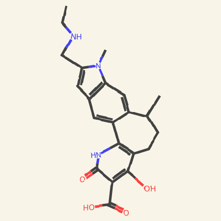 CCNCc1cc2cc3c(cc2n1C)C(C)CCc1c-3[nH]c(=O)c(C(=O)O)c1O